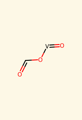 O=C[O][V]=[O]